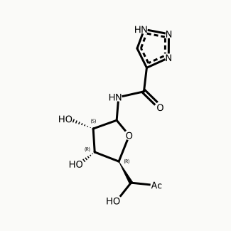 CC(=O)C(O)[C@@H]1OC(NC(=O)c2c[nH]nn2)[C@@H](O)[C@H]1O